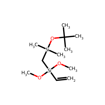 C=C[Si](C[Si](C)(C)OC(C)(C)C)(OC)OC